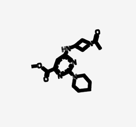 COC(=O)c1cc(NC2CN(C(C)=O)C2)nc(N2CCCCC2)n1